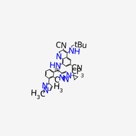 Cc1c(-c2ccn(C)n2)cccc1[C@H](Nc1cc(C#N)cc2c(NCC(C)(C)C)c(C#N)cnc12)c1cn(C2(C(F)(F)F)CC2)nn1